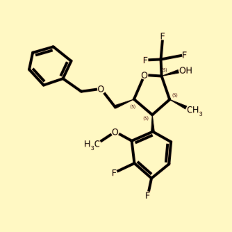 COc1c([C@H]2[C@@H](COCc3ccccc3)O[C@](O)(C(F)(F)F)[C@H]2C)ccc(F)c1F